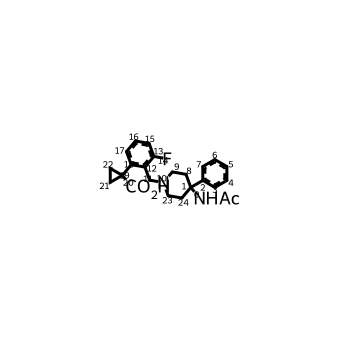 CC(=O)NC1(c2ccccc2)CCN(Cc2c(F)cccc2C2(C(=O)O)CC2)CC1